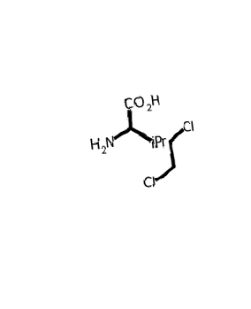 CC(C)C(N)C(=O)O.ClCCCl